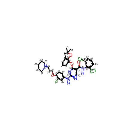 CC1(C)Cc2cccc(Oc3nc(Nc4ccc(OCCCN5CCCCC5)c(F)c4)ncc3C(=O)Nc3c(Cl)cccc3Cl)c2O1